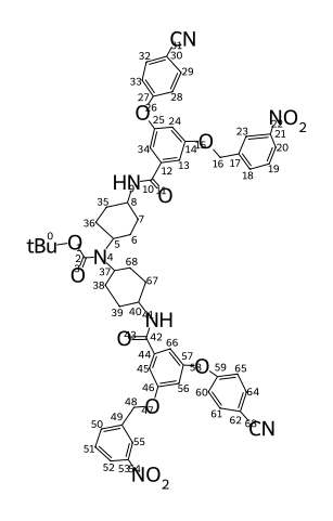 CC(C)(C)OC(=O)N(C1CCC(NC(=O)c2cc(OCc3cccc([N+](=O)[O-])c3)cc(Oc3ccc(C#N)cc3)c2)CC1)C1CCC(NC(=O)c2cc(OCc3cccc([N+](=O)[O-])c3)cc(Oc3ccc(C#N)cc3)c2)CC1